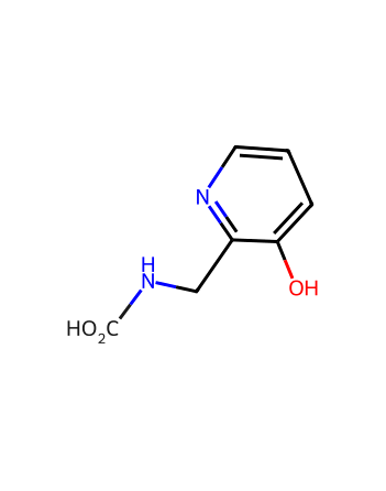 O=C(O)NCc1ncccc1O